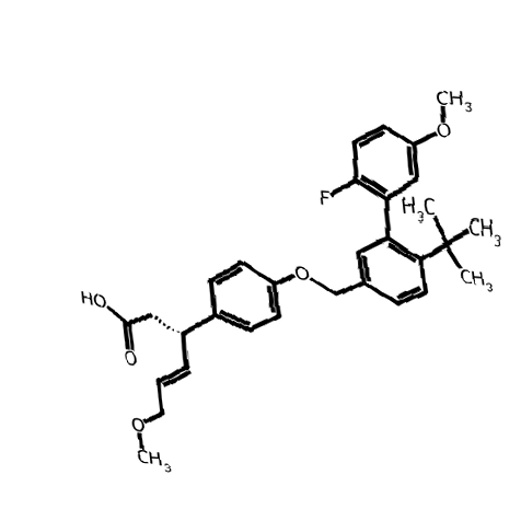 COC/C=C/[C@H](CC(=O)O)c1ccc(OCc2ccc(C(C)(C)C)c(-c3cc(OC)ccc3F)c2)cc1